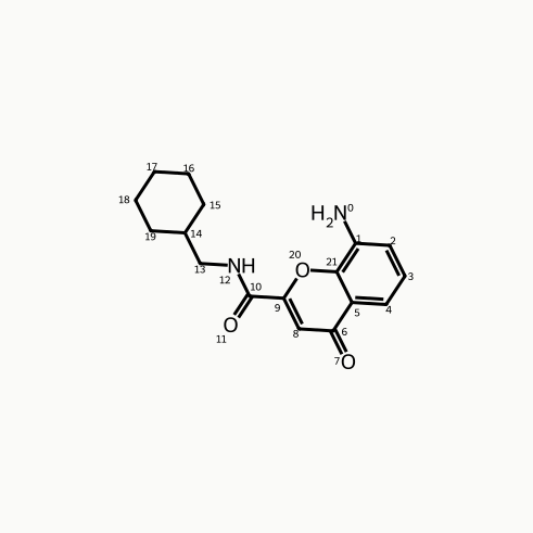 Nc1cccc2c(=O)cc(C(=O)NCC3CCCCC3)oc12